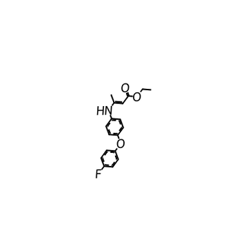 CCOC(=O)C=C(C)Nc1ccc(Oc2ccc(F)cc2)cc1